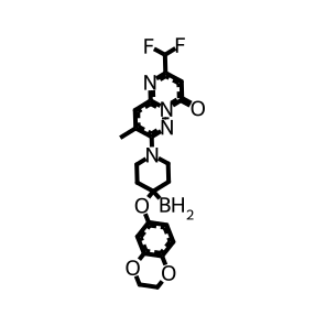 BC1(Oc2ccc3c(c2)OCCO3)CCN(c2nn3c(=O)cc(C(F)F)nc3cc2C)CC1